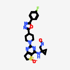 O=NCC1(Nc2nc(N3CCC(c4nnc(-c5ccc(F)cc5)o4)CC3)nc3c2[S+]([O-])CC3)CC1